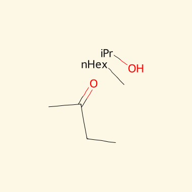 CC(C)O.CCC(C)=O.CCCCCCC